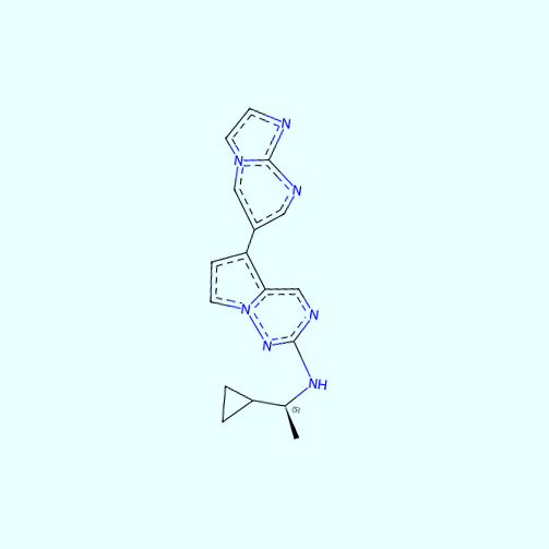 C[C@H](Nc1ncc2c(-c3cnc4nccn4c3)ccn2n1)C1CC1